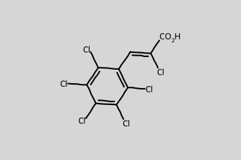 O=C(O)C(Cl)=Cc1c(Cl)c(Cl)c(Cl)c(Cl)c1Cl